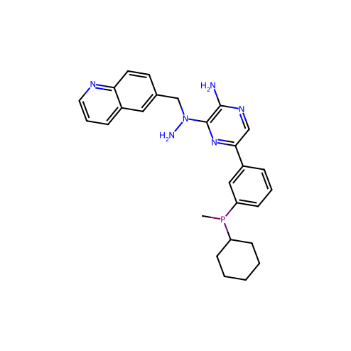 CP(c1cccc(-c2cnc(N)c(N(N)Cc3ccc4ncccc4c3)n2)c1)C1CCCCC1